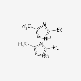 CCc1nc(C)c[nH]1.CCc1nc(C)c[nH]1